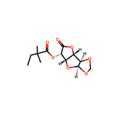 CCC(C)(C)C(=O)O[C@@H]1C(=O)O[C@@H]2[C@H]3OCO[C@H]3O[C@@H]21